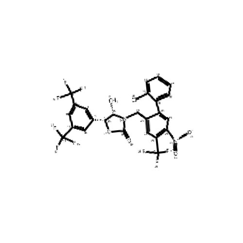 C[C@H]1[C@@H](c2cc(C(F)(F)F)cc(C(F)(F)F)c2)OC(=O)N1Cc1cc(C(F)(F)F)c([N+](=O)[O-])cc1-c1ccccc1Cl